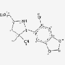 CCOC(=O)C1CC(C)(C#N)C(c2cc3c(cc2Br)OCO3)N1